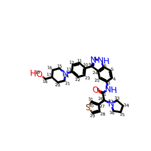 O=C(Nc1ccc2[nH]nc(-c3ccc(N4CCC(CO)CC4)cc3)c2c1)C(c1ccsc1)N1CCCC1